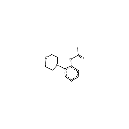 CC(=O)Nc1ccccc1N1CCOCC1